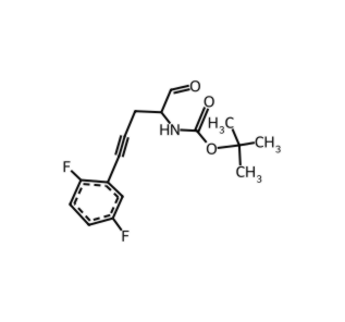 CC(C)(C)OC(=O)NC(C=O)CC#Cc1cc(F)ccc1F